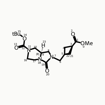 COC(=O)C12CC(CN3C[C@@H]4CN(C(=O)OC(C)(C)C)CCN4C3=O)(C1)C2